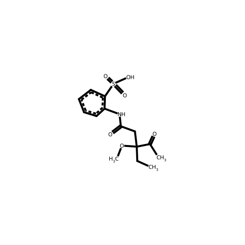 CCC(CC(=O)Nc1ccccc1S(=O)(=O)O)(OC)C(C)=O